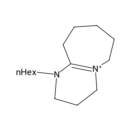 CCCCCCN1CCC[N+]2=C1CCCCC2